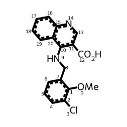 COc1c(Cl)cccc1CNc1c(C(=O)O)cnc2ccccc12